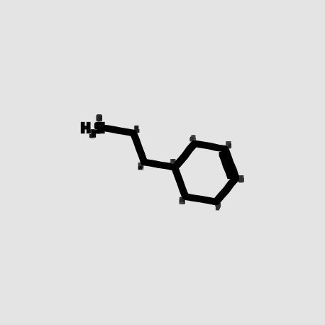 [SiH3]CCC1CC=CCC1